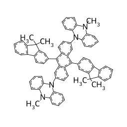 CN1c2ccccc2N(c2ccc3c(-c4ccc5c(c4)C(C)(C)c4ccccc4-5)c4cc(N5c6ccccc6N(C)c6ccccc65)ccc4c(-c4ccc5c(c4)C(C)(C)c4ccccc4-5)c3c2)c2ccccc21